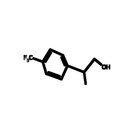 CC(CO)c1ccc(C(F)(F)F)cc1